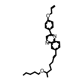 C=CCOc1ccc(-c2cnc3cc(C=CCCCC(C)OCCCCC)ccc3n2)cc1